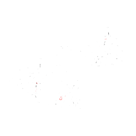 CC(=O)NC(COCCC1O[C@@H]2O[C@@]3(C)CC[C@H]4[C@H](C)CC[C@@H]([C@H]1C)[C@@]24OO3)(COCCC1O[C@@H]2O[C@@]3(C)CC[C@H]4[C@H](C)CC[C@@H]([C@H]1C)[C@@]24OO3)COCCC1OC[C@@H]2O[C@@]3(C)CC[C@H]4[C@H](C)CC[C@@H]([C@H]1C)[C@@]24OO3